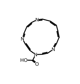 O=C(O)n1ccnccccccncccncc1